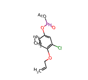 C=CCOc1ccc(O[PH](=O)OC(C)=O)cc1Cl.CCCC